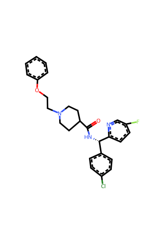 O=C(N[C@@H](c1ccc(Cl)cc1)c1ccc(F)cn1)C1CCN(CCOc2ccccc2)CC1